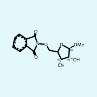 CO[C@@H]1OC(CON2C(=O)c3ccccc3C2=O)[C@@H](C#N)[C@H]1O